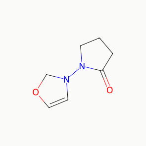 O=C1CCCN1N1C=COC1